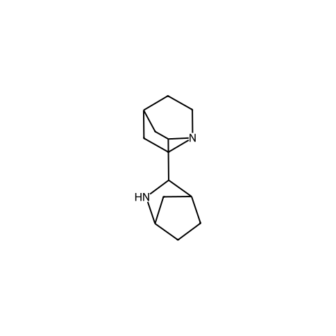 C1CN2CCC1CC2C1NC2CCC1C2